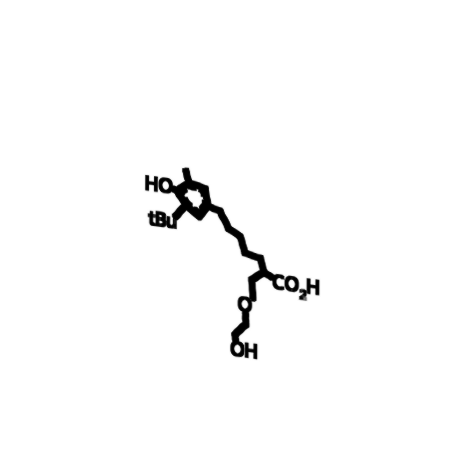 Cc1cc(CCCCCC(CCOCCO)C(=O)O)cc(C(C)(C)C)c1O